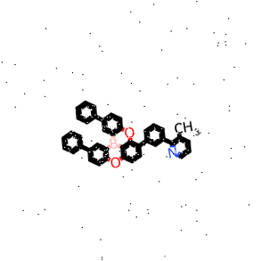 Cc1cccnc1-c1cccc(-c2ccc3c4c2Oc2ccc(-c5ccccc5)cc2B4c2cc(-c4ccccc4)ccc2O3)c1